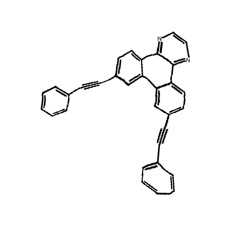 C(#Cc1ccc2c(c1)c1cc(C#Cc3ccccc3)ccc1c1nccnc21)c1ccccc1